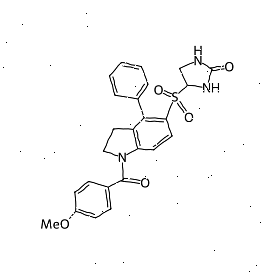 COc1ccc(C(=O)N2CCc3c2ccc(S(=O)(=O)C2CNC(=O)N2)c3-c2ccccc2)cc1